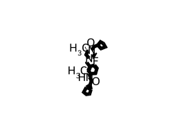 CC1=C(CN2CCN(C(=O)C3CCCC3)[C@@H](C)C2)C(F)=CCC1NC(=O)C1C2CCCC21